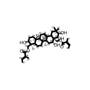 C/C=C(/C)C(=O)OC[C@@]12C(CC(C)(C)[C@@H](O)[C@@H]1O)C1=CCC3[C@@]4(S)CC[C@H](O)[C@](C)(COC(=O)/C(C)=C/C)C4CC[C@@]3(S)[C@]1(C)C[C@H]2O